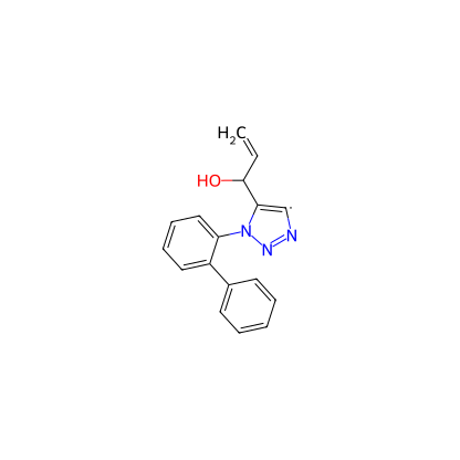 C=CC(O)c1[c]nnn1-c1ccccc1-c1ccccc1